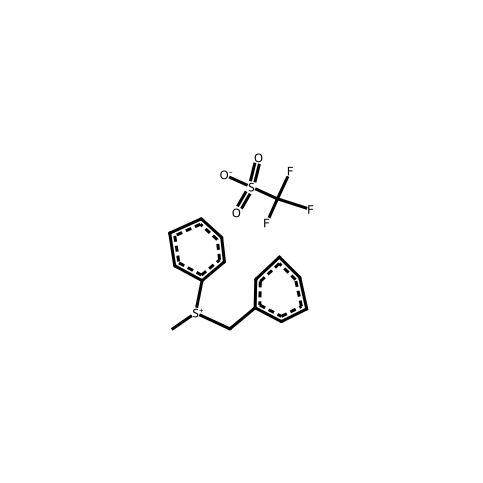 C[S+](Cc1ccccc1)c1ccccc1.O=S(=O)([O-])C(F)(F)F